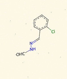 O=[C]NN=Cc1ccccc1Cl